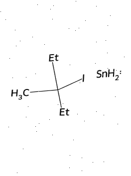 CCC(C)(I)CC.[SnH2]